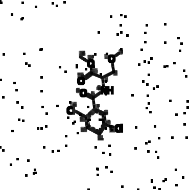 COCC(NC(=O)c1cc(Cl)ccc1Cl)C(=O)OC